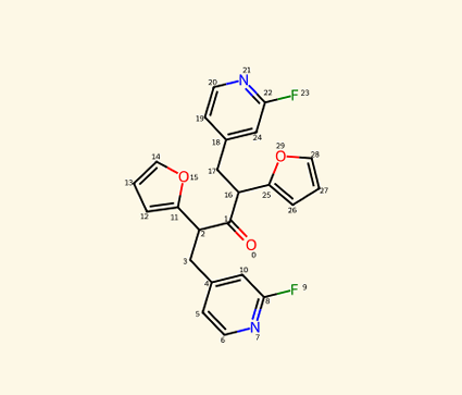 O=C(C(Cc1ccnc(F)c1)c1ccco1)C(Cc1ccnc(F)c1)c1ccco1